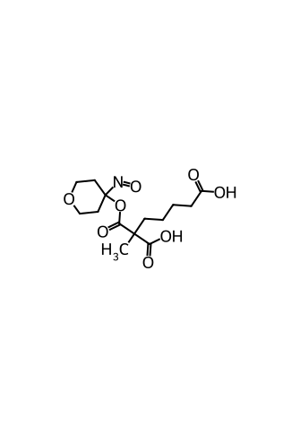 CC(CCCCC(=O)O)(C(=O)O)C(=O)OC1(N=O)CCOCC1